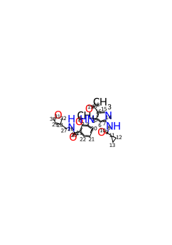 COc1c(Nc2cc(NC(=O)C3CC3)ncc2C(C)=O)cccc1C(=O)NC[C@H]1CCOC1